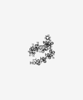 CCC(CO)OC(COC(=O)NCCC(=O)N[C@@H](C(=O)OCCCNC(=O)[C@@H](Cc1ccccc1)NC(=O)[C@@H](C)[C@H](C)[C@H]1CCCN1C(=O)C[C@H](C)[C@@H]([C@H](C)CC)N(C)C(=O)[C@H](NC(=O)[C@@H](C(C)C)N(C)C)C(C)C)C(C)(C)C)OC